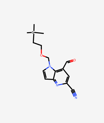 C[Si](C)(C)CCOCn1ccc2nc(C#N)cc(C=O)c21